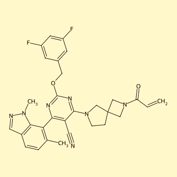 C=CC(=O)N1CC2(CCN(c3nc(OCc4cc(F)cc(F)c4)nc(-c4c(C)ccc5cnn(C)c45)c3C#N)C2)C1